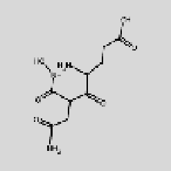 NC(=O)CC(C(=O)NO)C(=O)C(N)CCC(=O)O